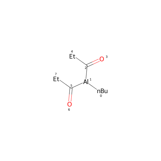 CCC[CH2][Al]([C](=O)CC)[C](=O)CC